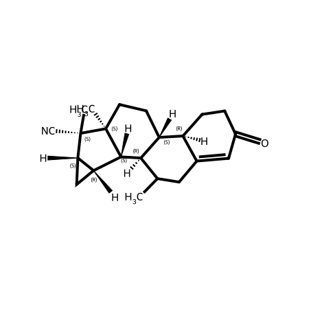 CC1CC2=CC(=O)CC[C@@H]2[C@H]2CC[C@@]3(C)[C@@H]([C@@H]4C[C@@H]4[C@]3(C)C#N)[C@H]12